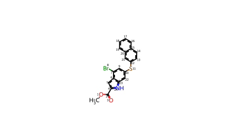 COC(=O)c1cc2c(Br)cc(Sc3ccc4ccccc4c3)cc2[nH]1